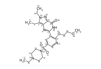 CCc1c2nc(-c3cc(S(=O)(=O)N4CCN(CC)CC4)cnc3OCCOC)[nH]c(=O)c2nn1CC